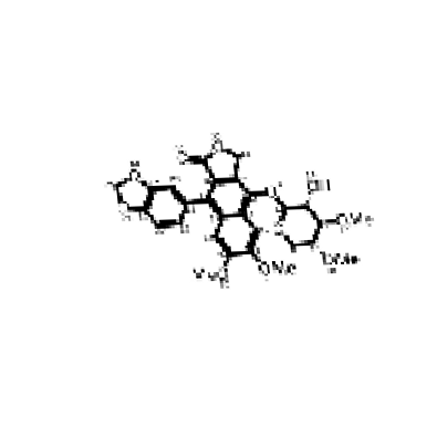 COc1cc2c(OC3OC[C@@H](OC)[C@H](OC)[C@H]3O)c3c(c(-c4ccc5c(c4)OCO5)c2cc1OC)C(=O)OC3